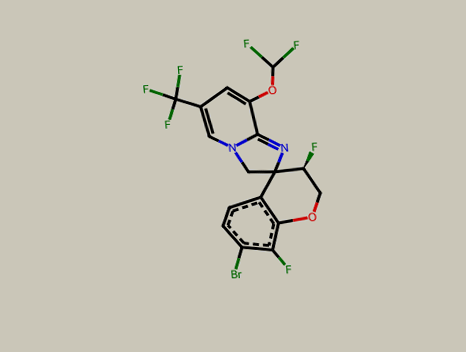 Fc1c(Br)ccc2c1OC[C@H](F)C21CN2C=C(C(F)(F)F)C=C(OC(F)F)C2=N1